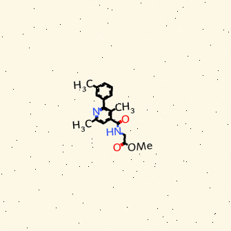 COC(=O)CNC(=O)c1cc(C)nc(-c2cccc(C)c2)c1C